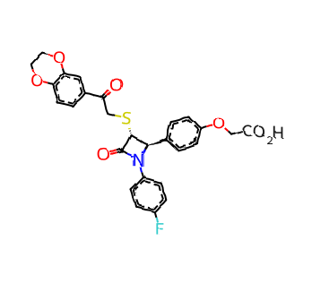 O=C(O)COc1ccc([C@@H]2[C@@H](SCC(=O)c3ccc4c(c3)OCCO4)C(=O)N2c2ccc(F)cc2)cc1